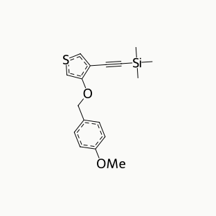 COc1ccc(COc2cscc2C#C[Si](C)(C)C)cc1